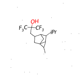 CC(C)C1C2CC3(CC2CC(O)(C(F)(F)F)C(F)(F)F)C(C)C13